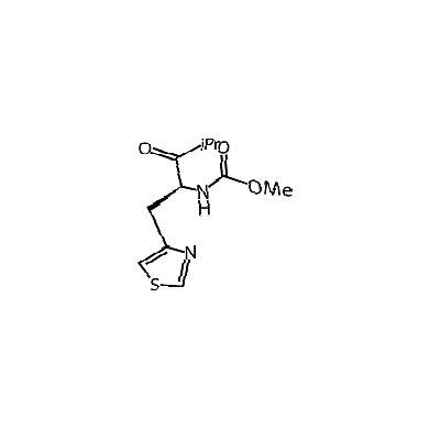 COC(=O)N[C@@H](Cc1cscn1)C(=O)C(C)C